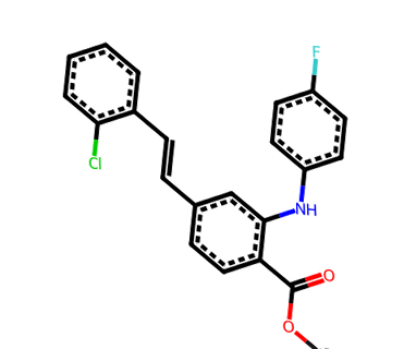 CC(C)(C)OC(=O)c1ccc(/C=C/c2ccccc2Cl)cc1Nc1ccc(F)cc1